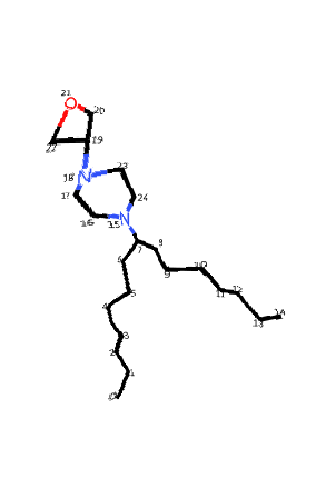 CCCCCCCC(CCCCCCC)N1CCN(C2COC2)CC1